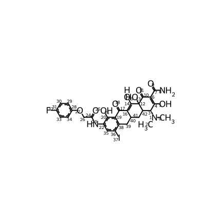 CN(C)[C@@H]1C(O)=C(C(N)=O)C(=O)C2(O)C(O)=C3C(=O)c4c(O)c(NC(=O)COc5ccc(F)cc5)cc(I)c4CC3CC12